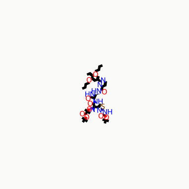 C=C(/C=C(OCCCC)\C(=C/C)OCCCC)c1nccc(C(=O)NC[C@H]2NC(=O)[C@H]2NC(=O)/C(=N\OC(C)(C)C(=O)OC(C)(C)C)c2csc(NC(=O)OC(C)(C)C)n2)n1